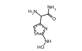 NC(=O)C(N)c1csc(NO)n1